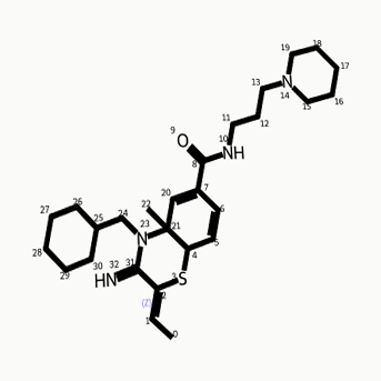 C/C=C1\SC2C=CC(C(=O)NCCCN3CCCCC3)=CC2(C)N(CC2CCCCC2)C1=N